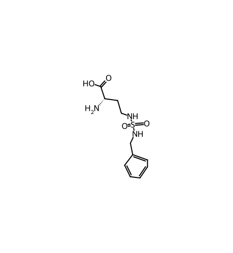 N[C@@H](CCNS(=O)(=O)NCc1ccccc1)C(=O)O